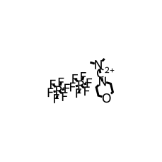 CN(C)[C+2]N1CCOCC1.F[P-](F)(F)(F)(F)F.F[P-](F)(F)(F)(F)F